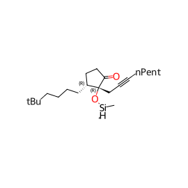 CCCCCC#CC[C@]1(O[SiH](C)C)C(=O)CC[C@H]1CCCCC(C)(C)C